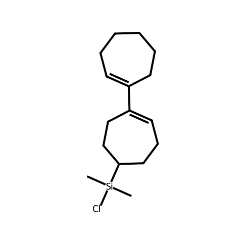 C[Si](C)(Cl)C1CCC=C(C2=CCCCCC2)CC1